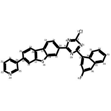 Fc1cc(-c2nc(Cl)nc(-c3ccc4c(c3)sc3cc(-c5cccnc5)ccc34)n2)c2ccccc2c1